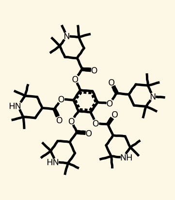 CN1C(C)(C)CC(C(=O)Oc2cc(OC(=O)C3CC(C)(C)N(C)C(C)(C)C3)c(OC(=O)C3CC(C)(C)NC(C)(C)C3)c(OC(=O)C3CC(C)(C)NC(C)(C)C3)c2OC(=O)C2CC(C)(C)NC(C)(C)C2)CC1(C)C